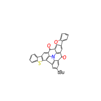 CC(C)(C)c1cc2c(=O)c3cc4c5ccccc5oc4c4c(=O)c5cc6c7ccccc7sc6c6c(c1)c2n(c34)c56